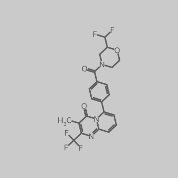 Cc1c(C(F)(F)F)nc2cccc(-c3ccc(C(=O)N4CCOC(C(F)F)C4)cc3)n2c1=O